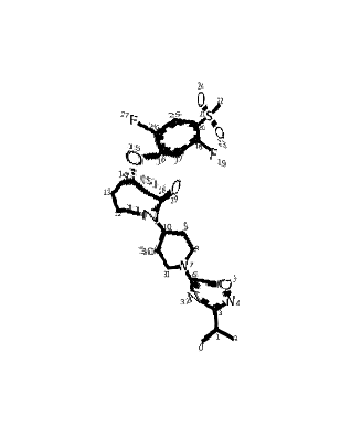 CC(C)c1noc(N2CCC(N3CC[C@H](Oc4cc(F)c(S(C)(=O)=O)cc4F)C3=O)CC2)n1